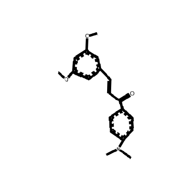 COc1cc(C=CC(=O)c2ccc(N(C)C)cc2)cc(OC)c1